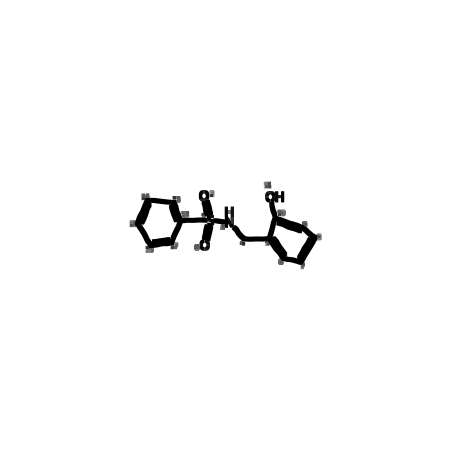 O=S(=O)(NCc1ccccc1O)c1ccccc1